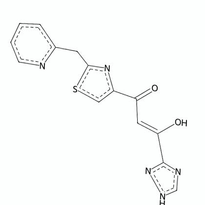 O=C(C=C(O)c1nc[nH]n1)c1csc(Cc2ccccn2)n1